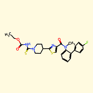 CCOC(=O)NC(=S)N1CCC(c2nc(C(=O)N(C)c3ccccc3-c3ccc(F)cc3)cs2)CC1